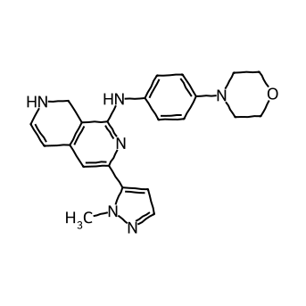 Cn1nccc1-c1cc2c(c(Nc3ccc(N4CCOCC4)cc3)n1)CNC=C2